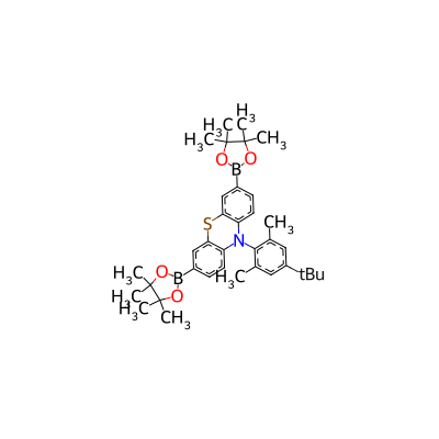 Cc1cc(C(C)(C)C)cc(C)c1N1c2ccc(B3OC(C)(C)C(C)(C)O3)cc2Sc2cc(B3OC(C)(C)C(C)(C)O3)ccc21